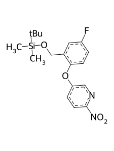 CC(C)(C)[Si](C)(C)OCc1cc(F)ccc1Oc1ccc([N+](=O)[O-])nc1